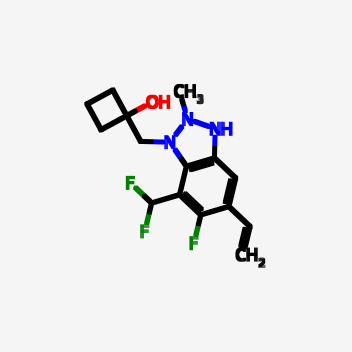 C=Cc1cc2c(c(C(F)F)c1F)N(CC1(O)CCC1)N(C)N2